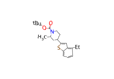 CCc1cccc2sc(C3CCN(C(=O)OC(C)(C)C)C(C)C3)cc12